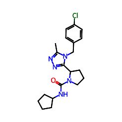 Cc1nnc(C2CCCN2C(=O)NC2CCCC2)n1Cc1ccc(Cl)cc1